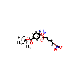 CC(C)(C)OC(=O)C1CCC(N)(OC(=O)CCCCO[N+](=O)[O-])CC1